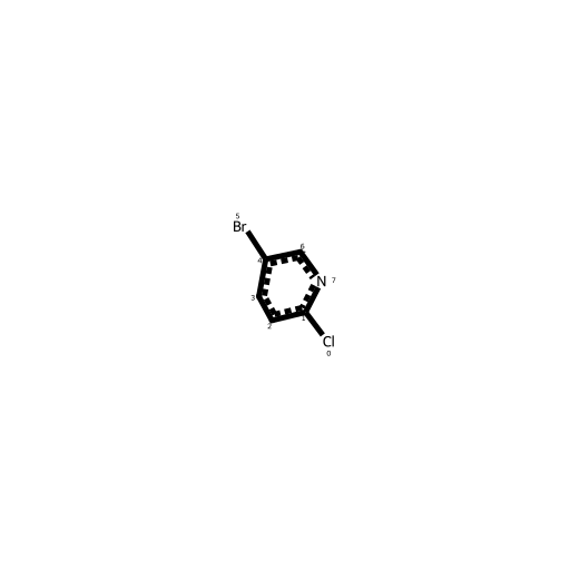 Clc1ccc(Br)[c]n1